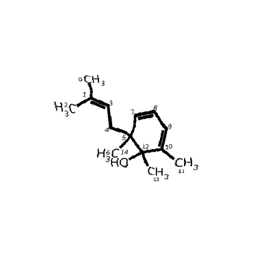 CC(C)=CCC1(C)C=CC=C(C)C1(C)O